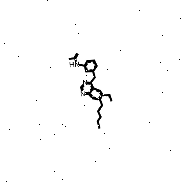 C=C(C)Nc1cccc(Cc2ncnc3cc(CCCCC)c(CC)cc23)c1